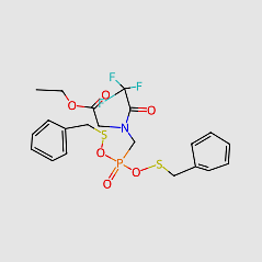 CCOC(=O)CN(CP(=O)(OSCc1ccccc1)OSCc1ccccc1)C(=O)C(F)(F)F